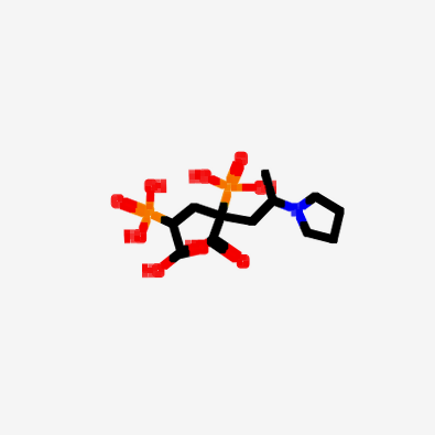 CC(CC(CC(C(=O)O)P(=O)(O)O)(C(=O)O)P(=O)(O)O)N1CCCC1